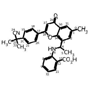 Cc1cc(C(C)Nc2ccccc2C(=O)O)c2oc(-c3ccc(C(C)(C)C#N)cc3)cc(=O)c2c1